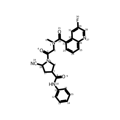 CN(CC(=O)N1CC(C(=O)Nc2ccccc2)CC1C#N)C(=O)c1cccc2ncc(F)cc12